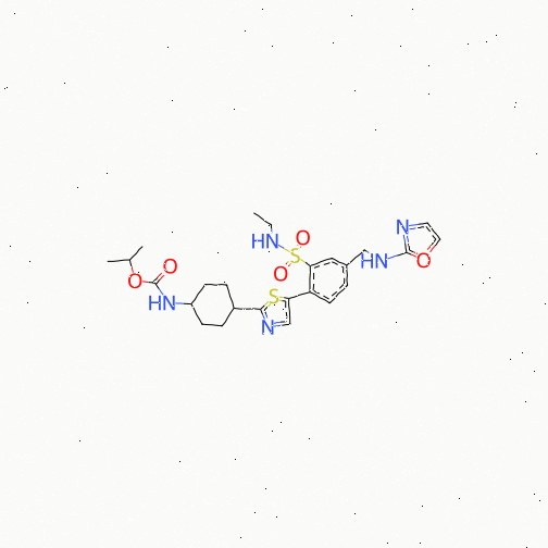 CCNS(=O)(=O)c1cc(CNc2ncco2)ccc1-c1cnc(C2CCC(NC(=O)OC(C)C)CC2)s1